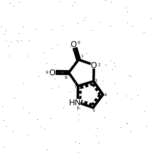 O=C1Oc2cc[nH]c2C1=O